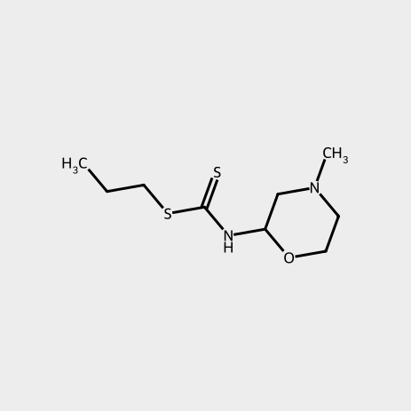 CCCSC(=S)NC1CN(C)CCO1